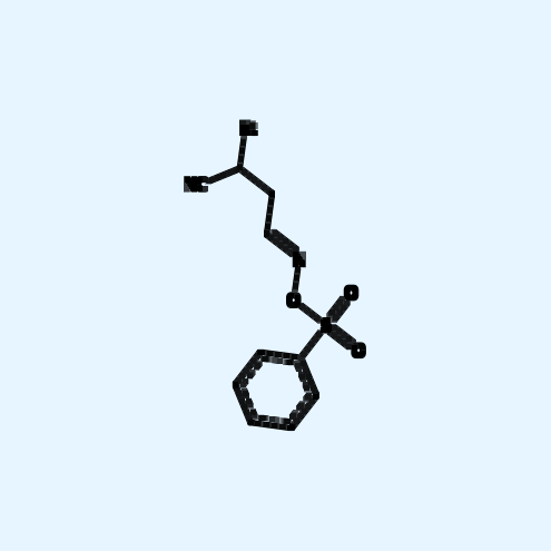 CCC(C#N)CC=NOS(=O)(=O)c1ccccc1